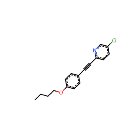 CCCCOc1ccc(C#Cc2ccc(Cl)cn2)cc1